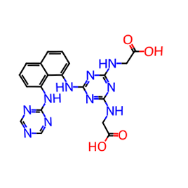 O=C(O)CNc1nc(NCC(=O)O)nc(Nc2cccc3cccc(Nc4ncncn4)c23)n1